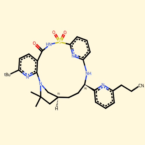 CC(C)(C)c1ccc2c(n1)N1C[C@@H](CC[C@H](c3cccc(CCC#N)n3)Nc3cccc(n3)S(=O)(=O)NC2=O)CC1(C)C